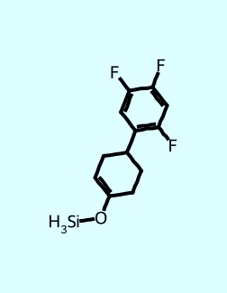 Fc1cc(F)c(C2CC=C(O[SiH3])CC2)cc1F